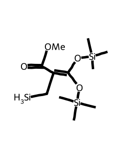 COC(=O)C(C[SiH3])=C(O[Si](C)(C)C)O[Si](C)(C)C